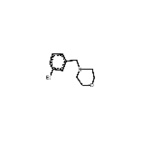 CCc1cccc(CN2CCOCC2)c1